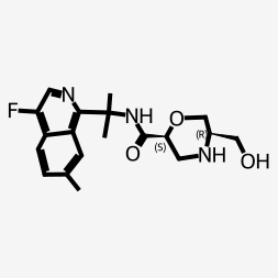 Cc1ccc2c(F)cnc(C(C)(C)NC(=O)[C@@H]3CN[C@H](CO)CO3)c2c1